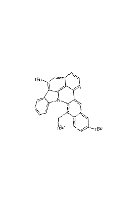 CC(C)(C)Cc1c2ccc(C(C)(C)C)cc2cc2c3nccc4cc(C(C)(C)C)c5c6ccccc6n(c12)c5c43